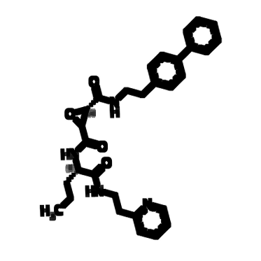 CCC[C@H](NC(=O)C1O[C@@H]1C(=O)NCCc1ccc(-c2ccccc2)cc1)C(=O)NCCc1ccccn1